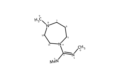 C/N=C(/NC)N1CCCN(C)CC1